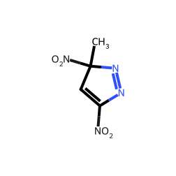 CC1([N+](=O)[O-])C=C([N+](=O)[O-])N=N1